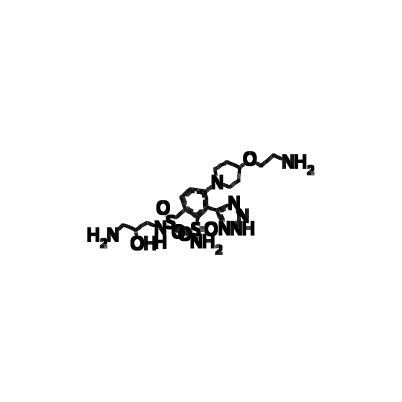 NCCOC1CCN(c2ccc(S(=O)(=O)NCC(O)CN)c(S(N)(=O)=O)c2-c2nn[nH]n2)CC1